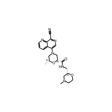 C[C@@H]1CN(c2cnc(C#N)c3ncccc23)C[C@H](C(=O)NC[C@H]2CN(C)CCO2)O1